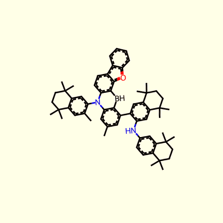 Cc1cc(-c2cc3c(cc2Nc2ccc4c(c2)C(C)(C)CCC4(C)C)C(C)(C)CCC3(C)C)c2c(c1)N(c1cc3c(cc1C)C(C)(C)CCC3(C)C)c1ccc3c(oc4ccccc43)c1B2